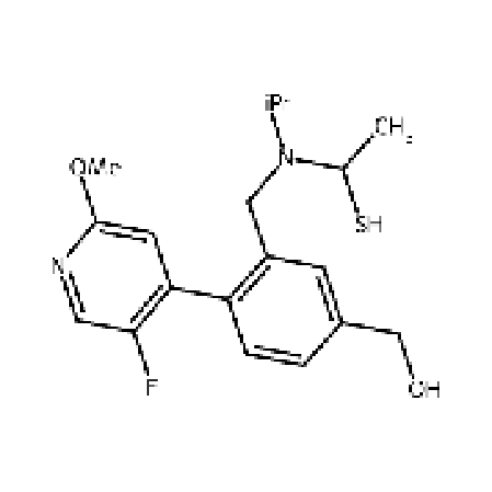 COc1cc(-c2ccc(CO)cc2CN(C(C)C)C(C)S)c(F)cn1